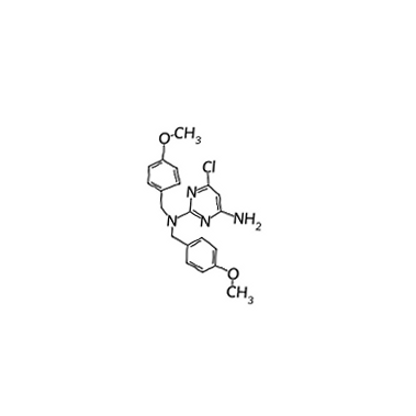 COc1ccc(CN(Cc2ccc(OC)cc2)c2nc(N)cc(Cl)n2)cc1